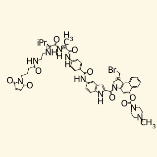 CC(C)[C@H](NCCNC(=O)CCCN1C(=O)C=CC1=O)C(=O)N[C@@H](C)C(=O)Nc1ccc(C(=O)Nc2ccc3[nH]c(C(=O)N4C[C@@H](CBr)c5c4cc(OC(=O)N4CCN(C)CC4)c4ccccc54)cc3c2)cc1